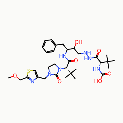 COCc1nc(CN2CCN([C@H](C(=O)N[C@@H](Cc3ccccc3)[C@@H](O)CNNC(=O)[C@@H](NC(=O)O)C(C)(C)C)C(C)(C)C)C2=O)cs1